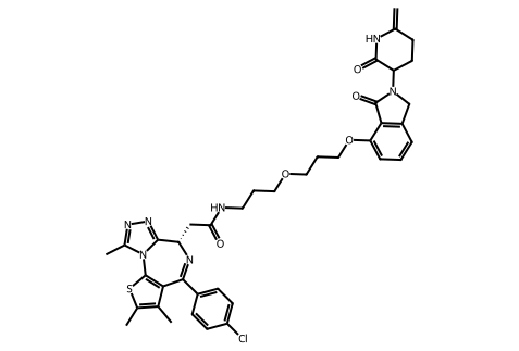 C=C1CCC(N2Cc3cccc(OCCCOCCCNC(=O)C[C@@H]4N=C(c5ccc(Cl)cc5)c5c(sc(C)c5C)-n5c(C)nnc54)c3C2=O)C(=O)N1